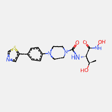 C[C@@H](O)[C@H](NC(=O)N1CCN(c2ccc(-c3cncs3)cc2)CC1)C(=O)NO